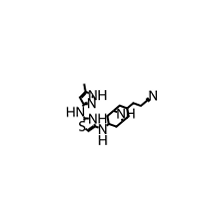 Cc1cc(NC2NC(NC3CC4CC(CCC#N)CC(C3)N4)=CS2)n[nH]1